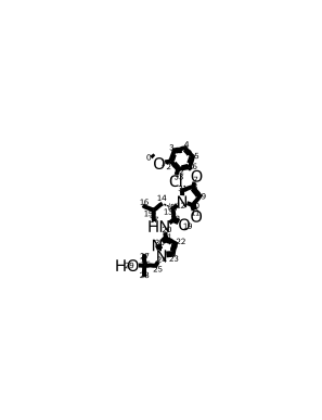 COc1cccc(OC2=CC(=O)N([C@@H](CC(C)C)C(=O)Nc3ccn(CC(C)(C)O)n3)C2)c1Cl